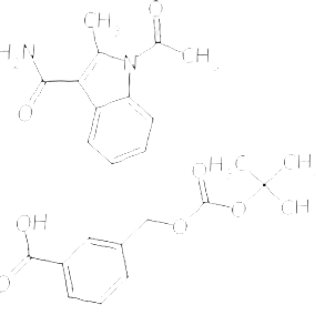 CC(=O)n1c(C)c(C(N)=O)c2ccccc21.CC(C)(C)OC(=O)OCc1cccc(C(=O)O)c1